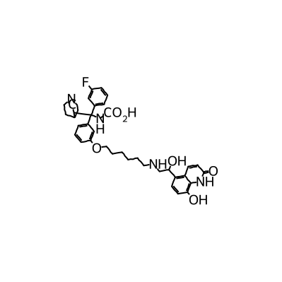 O=C(O)NC(c1cccc(F)c1)(c1cccc(OCCCCCCNCC(O)c2ccc(O)c3[nH]c(=O)ccc23)c1)C1CN2CCC1CC2